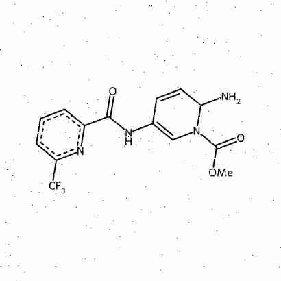 COC(=O)N1C=C(NC(=O)c2cccc(C(F)(F)F)n2)C=CC1N